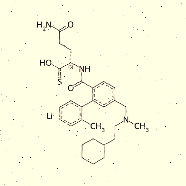 Cc1ccccc1-c1cc(CN(C)CCC2CCCCC2)ccc1C(=O)N[C@@H](CCC(N)=O)C(O)=S.[Li]